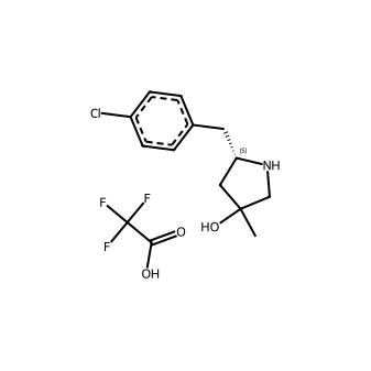 CC1(O)CN[C@@H](Cc2ccc(Cl)cc2)C1.O=C(O)C(F)(F)F